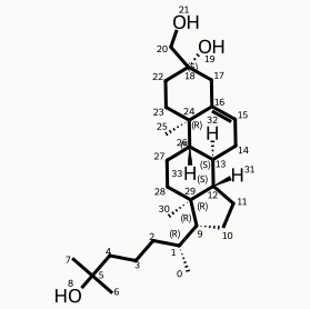 C[C@H](CCCC(C)(C)O)[C@H]1CC[C@H]2[C@@H]3CC=C4C[C@](O)(CO)CC[C@]4(C)[C@H]3CC[C@]12C